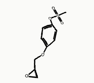 CS(=O)(=O)Oc1ccc(OCC2CO2)cc1